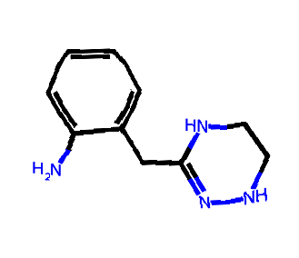 Nc1ccccc1CC1=NNCCN1